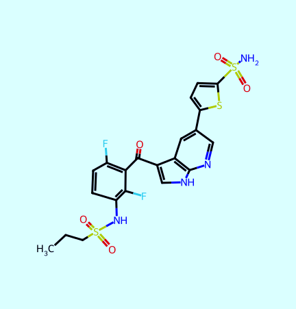 CCCS(=O)(=O)Nc1ccc(F)c(C(=O)c2c[nH]c3ncc(-c4ccc(S(N)(=O)=O)s4)cc23)c1F